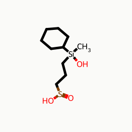 C[Si](O)(CCCS(=O)O)C1CCCCC1